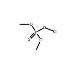 COP(=S)(OC)OCl